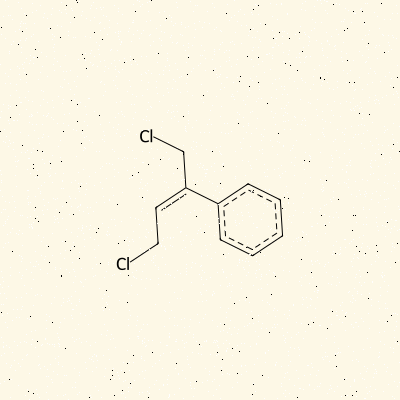 ClC/C=C(/CCl)c1ccccc1